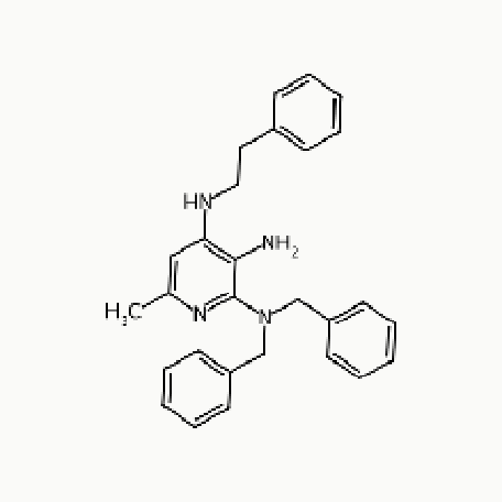 Cc1cc(NCCc2ccccc2)c(N)c(N(Cc2ccccc2)Cc2ccccc2)n1